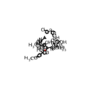 CCOc1ccc(C2(CNC(=O)[C@@H]3C[C@@H](O)CN3C(=O)[C@@H](n3cc(C4CC4)nn3)C(C)(C)C)CCOC(C3CC3c3cn([C@H](C(=O)N4C[C@H](O)C[C@H]4C(=O)NCc4cc(Oc5cccc(Cl)c5)ccn4)C(C)(C)C)nn3)C2)cc1